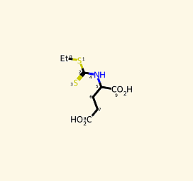 CCSC(=S)NC(CCC(=O)O)C(=O)O